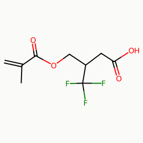 C=C(C)C(=O)OCC(CC(=O)O)C(F)(F)F